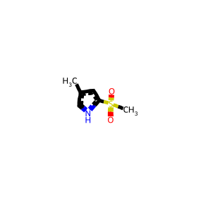 Cc1c[nH]c(S(C)(=O)=O)c1